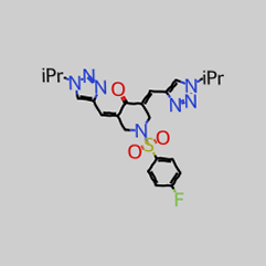 CC(C)n1cc(C=C2CN(S(=O)(=O)c3ccc(F)cc3)CC(=Cc3cn(C(C)C)nn3)C2=O)nn1